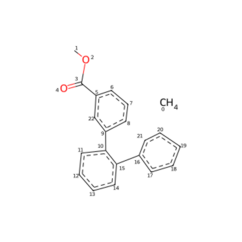 C.COC(=O)c1cccc(-c2ccccc2-c2ccccc2)c1